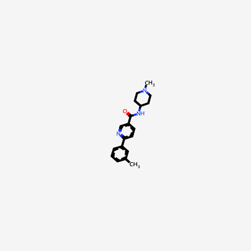 Cc1cccc(-c2ccc(C(=O)NC3CCN(C)CC3)cn2)c1